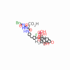 C[C@]12C=CC(=O)C=C1CC[C@@H]1C2[C@@H](O)C[C@@]2(C)C1C[C@H]1O[C@@H](C3=C(F)CC(CC4CCC(NC(=O)[C@H](CCC(=O)O)NC(=O)CNC(=O)CBr)CC4)C=C3)O[C@]12C(=O)COP(=O)(O)O